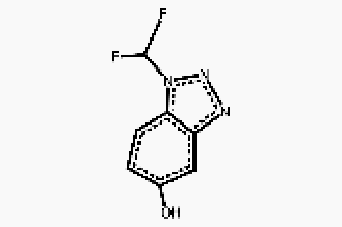 Oc1ccc2c(c1)nnn2C(F)F